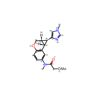 COCC(=O)N(C)c1ccc2c(c1)[C@@H]1[C@H](CO2)[C@H]1c1cn(C)cn1